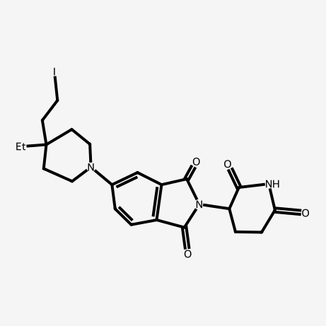 CCC1(CCI)CCN(c2ccc3c(c2)C(=O)N(C2CCC(=O)NC2=O)C3=O)CC1